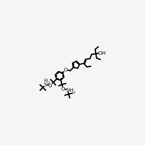 CCC(=CCCC(O)(CC)CC)C1=CC=C(COc2ccc(C(C)(C)O[SiH2]C(C)(C)C)c(C(C)(C)O[SiH2]C(C)(C)C)c2)C1